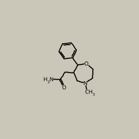 CN1CCOC(c2ccccc2)C(CC(N)=O)C1